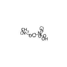 CC1CCCN1CCCOc1ccc(-c2nc(CN3CCCCC3)c(C(=O)O)o2)cc1